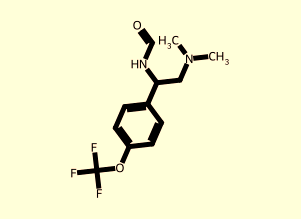 CN(C)CC(NC=O)c1ccc(OC(F)(F)F)cc1